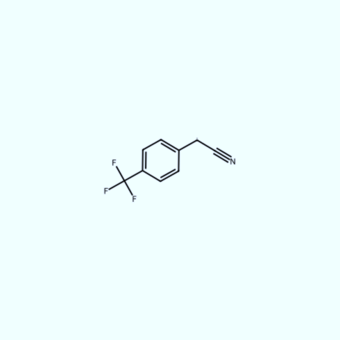 N#C[CH]c1ccc(C(F)(F)F)cc1